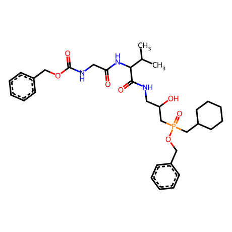 CC(C)C(NC(=O)CNC(=O)OCc1ccccc1)C(=O)NCC(O)CP(=O)(CC1CCCCC1)OCc1ccccc1